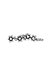 CSN1CCC(c2cnc3[nH]c(-c4ccc(OCc5ccccc5)cc4)nc3c2)CC1